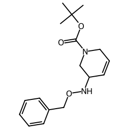 CC(C)(C)OC(=O)N1CC=CC(NOCc2ccccc2)C1